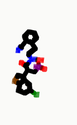 N#Cc1ccccc1/C=C/NC(=O)C(C[PH](=O)O)c1csc2ccc(Cl)cc12